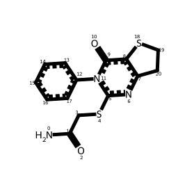 NC(=O)CSc1nc2c(c(=O)n1-c1ccccc1)SCC2